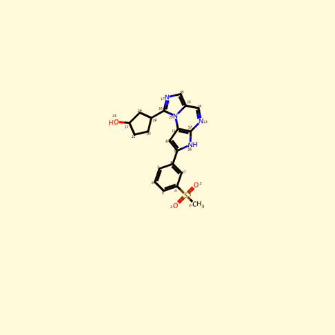 CS(=O)(=O)c1cccc(-c2cc3c(ncc4cnc(C5CCC(O)C5)n43)[nH]2)c1